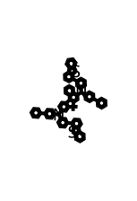 CC1(C)c2cc(N(c3ccc(-c4ccccc4)cc3)c3cccc(-c4cccc5c4sc4ccccc45)c3)ccc2-c2c1cc(N(c1ccc(-c3ccccc3)cc1)c1cccc(-c3cccc4c3sc3ccccc34)c1)c1ccccc21